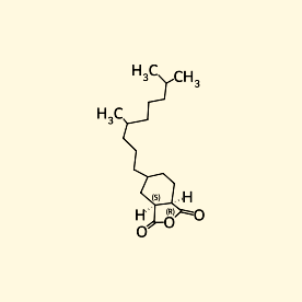 CC(C)CCCC(C)CCCC1CC[C@H]2C(=O)OC(=O)[C@H]2C1